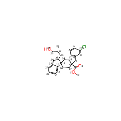 COC(=O)C1(Cc2cccc(Cl)c2)CCC2(CC1)c1ccccc1CC2C[C@@H](C)CO